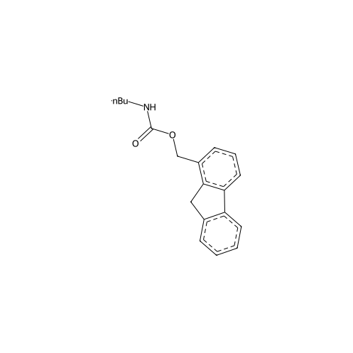 CCC[CH]NC(=O)OCc1cccc2c1Cc1ccccc1-2